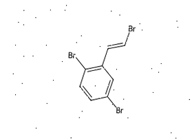 BrC=Cc1cc(Br)ccc1Br